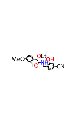 CCO[C@H](C(=O)NCc1ccc(C#N)cc1O)c1ccc(OC)cc1F